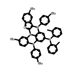 Cc1ccccc1N(c1cc2c3c(c1)N(c1ccc(C(C)(C)C)cc1)c1c(oc4ccc(C(C)(C)C)cc14)B3c1cc(C(C)(C)C)ccc1N2c1ccc(C(C)(C)C)cc1)c1ccccc1C